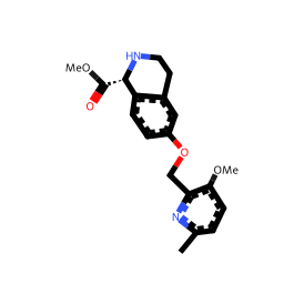 COC(=O)[C@@H]1NCCc2cc(OCc3nc(C)ccc3OC)ccc21